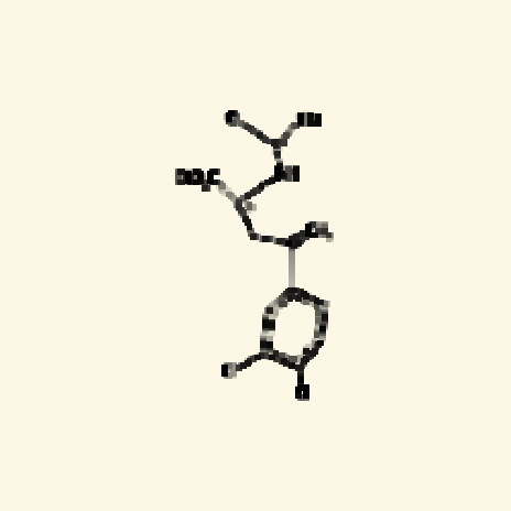 C=C(C[C@@H](N[S+]([O-])C(C)(C)C)C(=O)OCC)c1ccc(Cl)c(Cl)c1